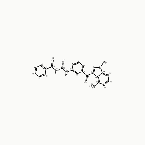 CC(C)n1cc(C(=O)c2cccc(NC(=O)NC(=O)c3ccccc3)c2)c2c(N)ncnc21